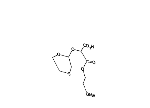 COCCOC(=O)C(OC1CSCCO1)C(=O)O